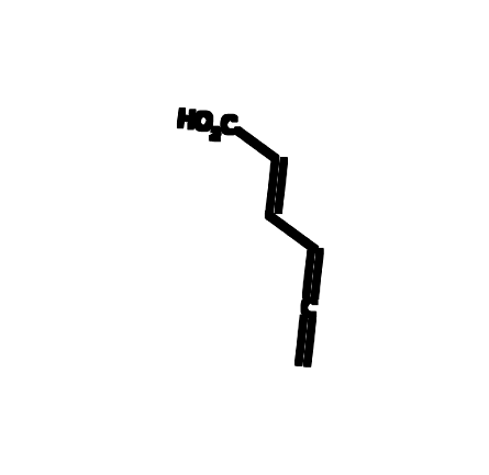 C=C=CC=CC(=O)O